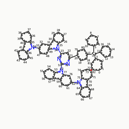 c1ccc([Si](c2ccccc2)(c2ccccc2)c2ccc(-c3cc(-n4c5ccccc5c5cc(-n6c7ccccc7c7ccccc76)ccc54)nc(-n4c5ccccc5c5ccc(-n6c7ccccc7c7ccccc76)cc54)n3)cc2)cc1